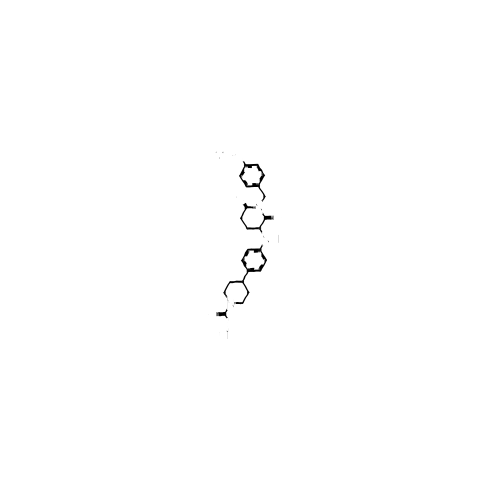 COc1ccc(CN2C(=O)CCC(Nc3ccc(C4CCN(C(=O)OC(C)(C)C)CC4)cc3)C2=O)cc1